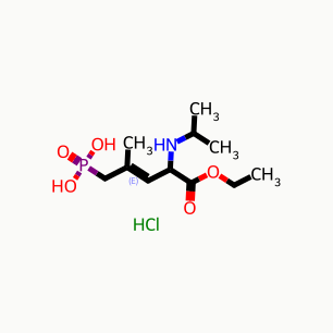 CCOC(=O)C(/C=C(\C)CP(=O)(O)O)NC(C)C.Cl